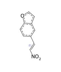 O=[N+]([O-])/C=C/c1ccc2occc2c1